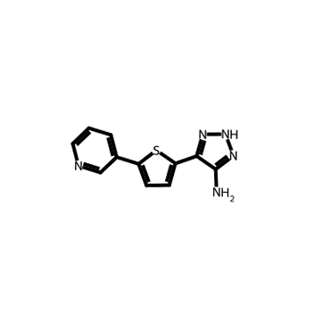 Nc1n[nH]nc1-c1ccc(-c2cccnc2)s1